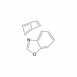 c1cc2ccc1-2.c1ccc2ocnc2c1